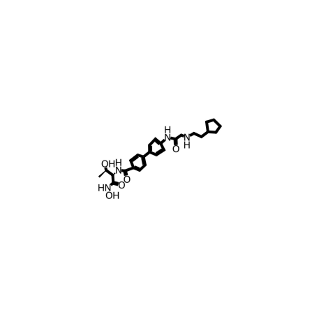 C[C@@H](O)[C@H](NC(=O)c1ccc(-c2ccc(NC(=O)CNCCC3CCCC3)cc2)cc1)C(=O)NO